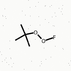 CC(C)(C)OOF